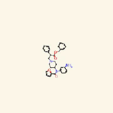 Nc1cccc(N(C(=O)c2ccco2)C2CCN(CC(C(=O)OCc3ccccc3)c3ccccc3)CC2)c1